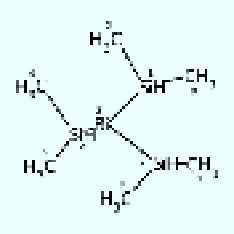 C[SiH](C)[Bi]([SiH](C)C)[SiH](C)C